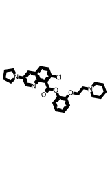 O=C(Oc1ccccc1OCCN1CCCCC1)c1c(Cl)ccc2cc(N3CCCC3)cnc12